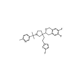 Cc1ccc(C(C)(C)N2CCC(CCc3ccc(F)s3)(C3Cc4cc(F)c(F)cc4CO3)C2)cn1